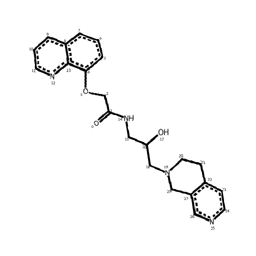 O=C(COc1cccc2cccnc12)NCC(O)CN1CCc2ccncc2C1